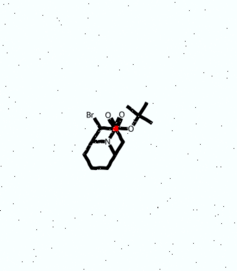 CC(C)(C)OC(=O)N1C2CCCC1C(Br)C(=O)C2